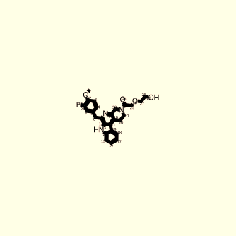 COc1ccc(Cc2nc3c(c4c2[nH]c2ccccc24)CCN(C(=O)COCCO)C3)cc1F